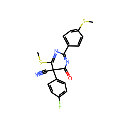 CSC1=NC(c2ccc(SC)cc2)=NC(=O)C1(C#N)c1ccc(F)cc1